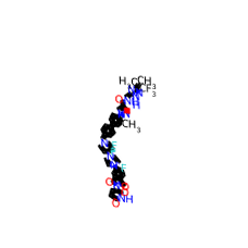 Cc1cc(-c2ccc(CN3CCC(N4CCN(c5cc6c(cc5F)C(=O)N(C5CCC(=O)NC5=O)C6=O)CC4)C(F)(F)C3)cc2)ccc1-n1cc(C(=O)NCc2nc(C(C)(C)C(F)(F)F)n[nH]2)cn1